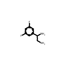 NCC(N)c1cc(F)cc(F)c1